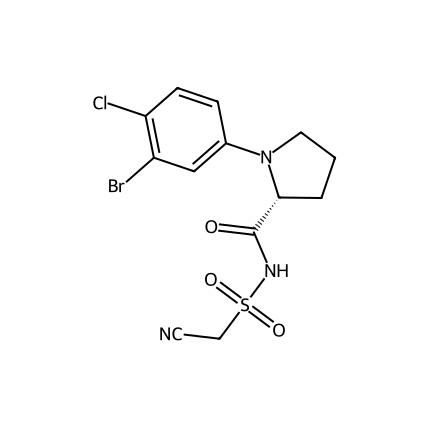 N#CCS(=O)(=O)NC(=O)[C@H]1CCCN1c1ccc(Cl)c(Br)c1